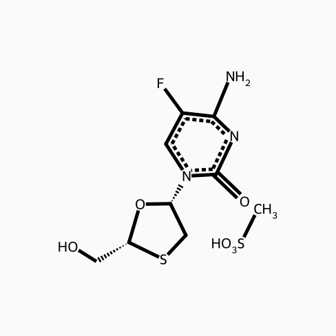 CS(=O)(=O)O.Nc1nc(=O)n([C@@H]2CS[C@H](CO)O2)cc1F